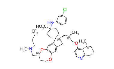 C[C@@H](COc1ccnc2c1[C@H](C)CCC2)C[C@H]1Cc2cc3c(cc2C12CCC(Nc1cccc(Cl)c1)(C(=O)O)CC2)O[C@H](CN(C)CCCC(F)(F)F)CCO3